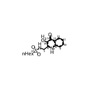 CCCCCCS(=O)(=O)NCc1[nH]c2ccccc2c(=O)c1C